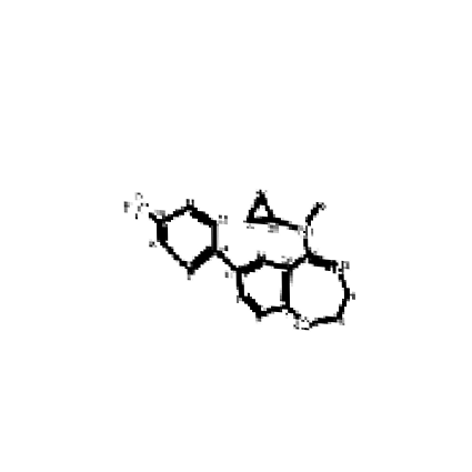 CN(C1=NCCOc2ccc(-c3ccc(C(F)(F)F)cc3)cc21)C1CC1